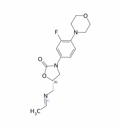 C/C=N/C[C@H]1CN(c2ccc(N3CCOCC3)c(F)c2)C(=O)O1